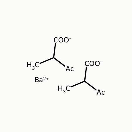 CC(=O)C(C)C(=O)[O-].CC(=O)C(C)C(=O)[O-].[Ba+2]